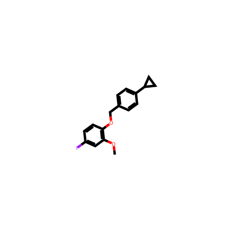 COc1cc(I)ccc1OCc1ccc(C2CC2)cc1